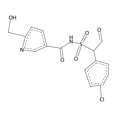 O=CC(c1ccc(Cl)cc1)S(=O)(=O)NC(=O)c1ccc(CO)nc1